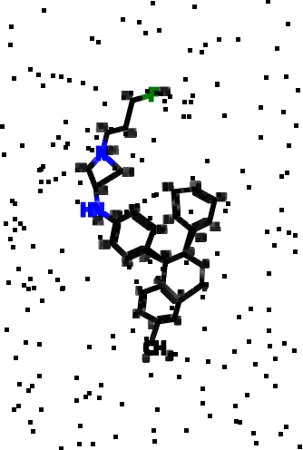 Cc1ccc2c(c1)CC[C@H](c1ccccc1)[C@@H]2c1ccc(NC2CN(CCCF)C2)cc1